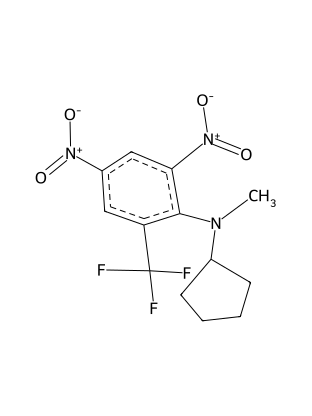 CN(c1c([N+](=O)[O-])cc([N+](=O)[O-])cc1C(F)(F)F)C1CCCC1